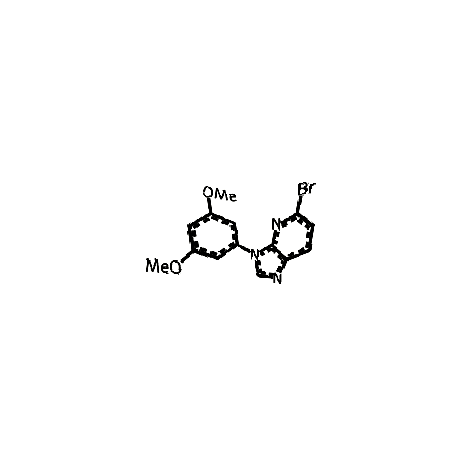 COc1cc(OC)cc(-n2cnc3ccc(Br)nc32)c1